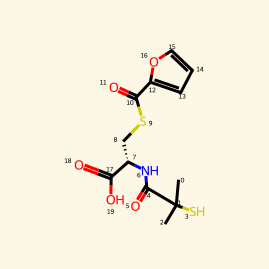 CC(C)(S)C(=O)N[C@@H](CSC(=O)c1ccco1)C(=O)O